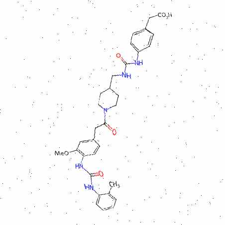 COc1cc(CC(=O)N2CCC(CNC(=O)Nc3ccc(CC(=O)O)cc3)CC2)ccc1NC(=O)Nc1ccccc1C